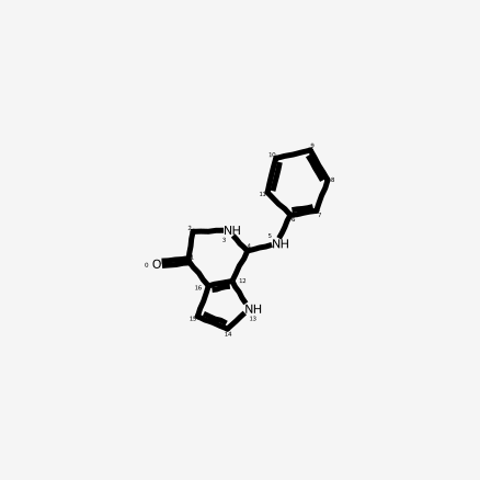 O=C1CNC(Nc2ccccc2)c2[nH]ccc21